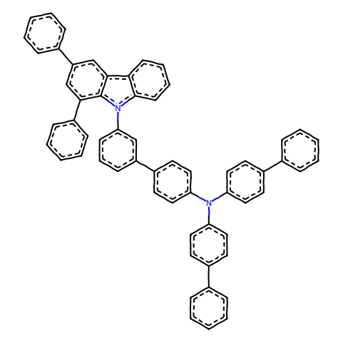 c1ccc(-c2ccc(N(c3ccc(-c4ccccc4)cc3)c3ccc(-c4cccc(-n5c6ccccc6c6cc(-c7ccccc7)cc(-c7ccccc7)c65)c4)cc3)cc2)cc1